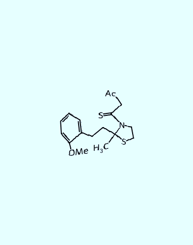 COc1ccccc1CCC1(C)SCCN1C(=S)CC(C)=O